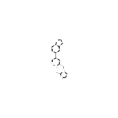 Cc1nccn1Cc1cc(-c2ccc3sccc3c2)cnn1